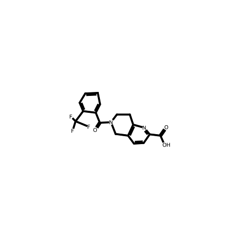 O=C(O)c1ccc2c(n1)CCN(C(=O)c1ccccc1C(F)(F)F)C2